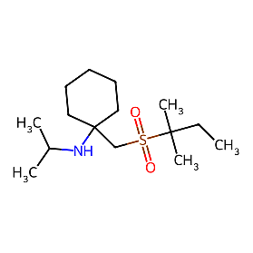 CCC(C)(C)S(=O)(=O)CC1(NC(C)C)CCCCC1